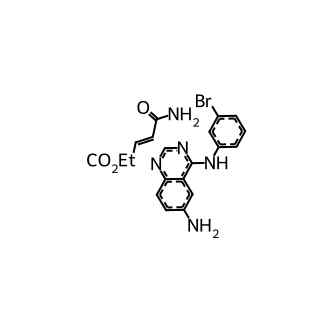 CCOC(=O)/C=C/C(N)=O.Nc1ccc2ncnc(Nc3cccc(Br)c3)c2c1